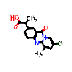 Cc1cc(Cl)cn2c(=O)c3cc(C(C)C(=O)O)ccc3nc12